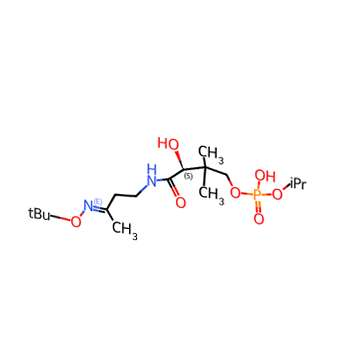 C/C(CCNC(=O)[C@@H](O)C(C)(C)COP(=O)(O)OC(C)C)=N\OC(C)(C)C